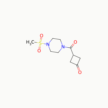 CS(=O)(=O)N1CCN(C(=O)C2CC(=O)C2)CC1